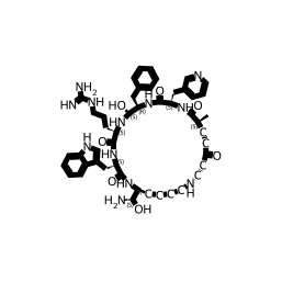 C[C@H]1CCC(=O)CCNCCCC[C@@H]([C@@H](N)O)NC(=O)[C@H](Cc2c[nH]c3ccccc23)NC(=O)[C@H](CCCNC(=N)N)N[C@@H](O)[C@@H](Cc2ccccc2)NC(=O)[C@H](Cc2cccnc2)NC1=O